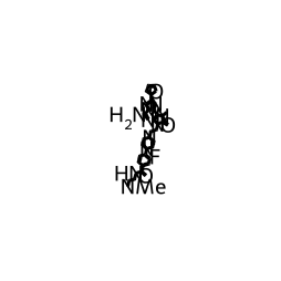 CNCCNC(=O)c1ccc(N2CCN(CCn3c(=O)n(C)c4c3nc(N)n3nc(-c5ccco5)nc43)CC2)c(F)c1